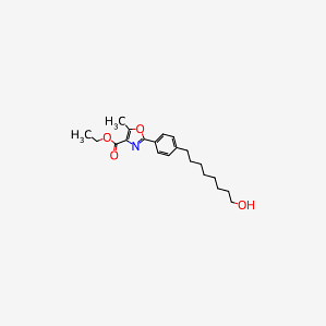 CCOC(=O)c1nc(-c2ccc(CCCCCCCCO)cc2)oc1C